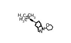 C[Si](C)(C)C#Cc1ccc2c(cnn2C2CCCCO2)c1